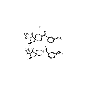 CON1C(=O)CC2(CCN(C(=O)c3ccc[n+](C)c3)CC2)C1=O.CON1C(=O)CC2(CCN(C(=O)c3ccc[n+](C)c3)CC2)C1=O.[I-].[I-]